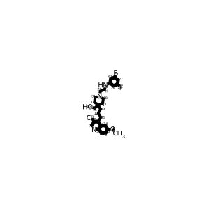 COc1ccc2ncc(Cl)c(CCCC3(CO)CCN(CCNc4cc(F)cc(F)c4)CC3)c2c1